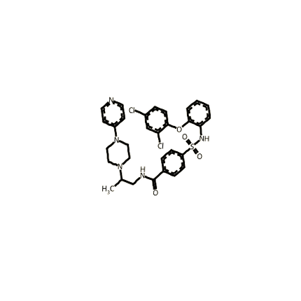 CC(CNC(=O)c1ccc(S(=O)(=O)Nc2ccccc2Oc2ccc(Cl)cc2Cl)cc1)N1CCN(c2ccncc2)CC1